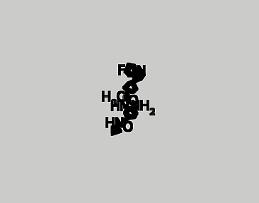 C[C@@H](C(=O)Nc1cc(C(=O)NC2CCC2)ccc1N)C1CCC(c2ccnc3ccc(F)cc23)CC1